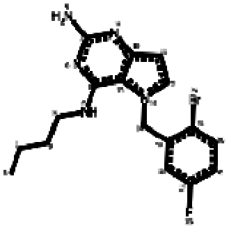 CCCCNc1nc(N)nc2ccn(Cc3cc(F)ccc3Br)c12